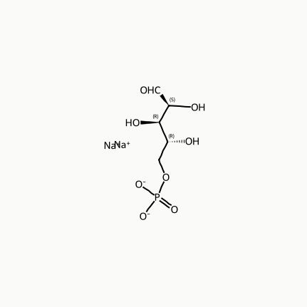 O=C[C@@H](O)[C@H](O)[C@H](O)COP(=O)([O-])[O-].[Na+].[Na+]